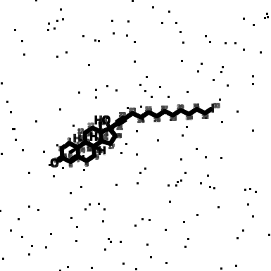 C[C@]12CCC(=O)C=C1CC[C@@H]1[C@@H]2CC[C@@]2(C)[C@H]1CC[C@@]2(O)C#CCCCCCCCCCCI